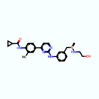 C=S(Cc1cccc(Nc2nccc(-c3ccc(NC(=O)C4CC4)c(C#N)c3)n2)c1)NCCO